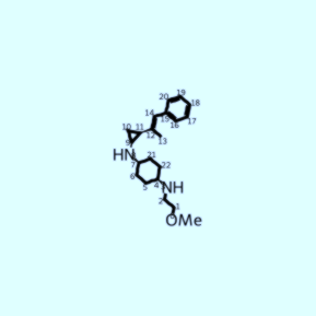 COCCN[C@H]1CC[C@@H](N[C@@H]2C[C@H]2/C(C)=C/c2ccccc2)CC1